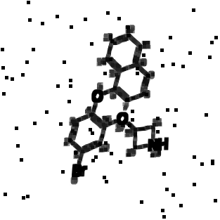 Brc1ccc(Oc2cccc3ccccc23)c(OC2CNC2)c1